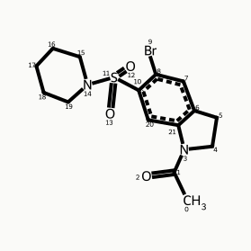 CC(=O)N1CCc2cc(Br)c(S(=O)(=O)N3CCCCC3)cc21